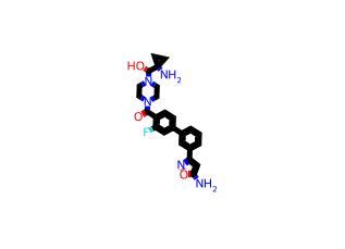 Nc1cc(-c2cccc(-c3ccc(C(=O)N4CCN(C(O)C5(N)CC5)CC4)c(F)c3)c2)no1